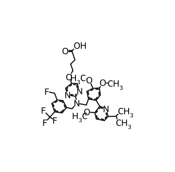 COc1cc(CN(Cc2cc(CF)cc(C(F)(F)F)c2)c2ncc(OCCCC(=O)O)cn2)c(-c2nc(C(C)C)ccc2OC)cc1OC